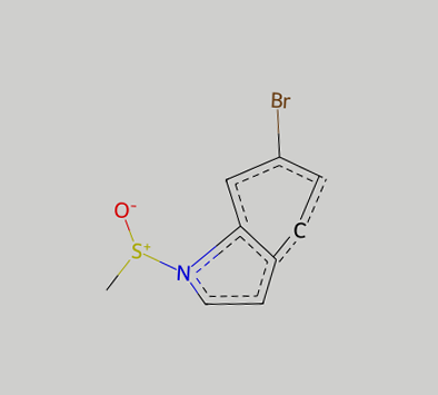 C[S+]([O-])n1ccc2ccc(Br)cc21